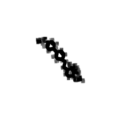 CC1=CC=C(CCc2ccc(-c3ccc(C)cc3)cc2)C(F)(F)C1(F)F